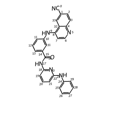 N#Cc1ccc2nccc(Nc3cccc(C(=O)Nc4cccc(Nc5ccccc5)n4)c3)c2c1